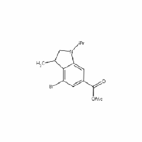 COC(=O)c1cc(Br)c2c(c1)N(C(C)C)CC2C